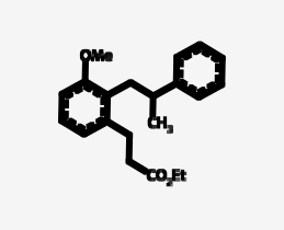 CCOC(=O)CCc1cccc(OC)c1CC(C)c1ccccc1